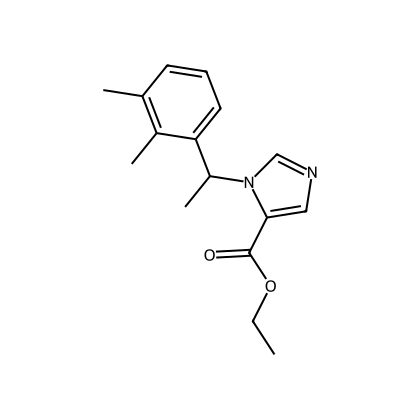 CCOC(=O)c1cncn1C(C)c1cccc(C)c1C